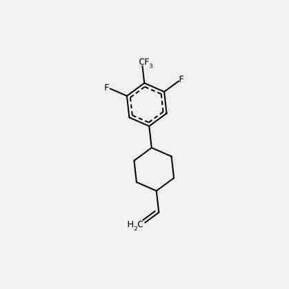 C=CC1CCC(c2cc(F)c(C(F)(F)F)c(F)c2)CC1